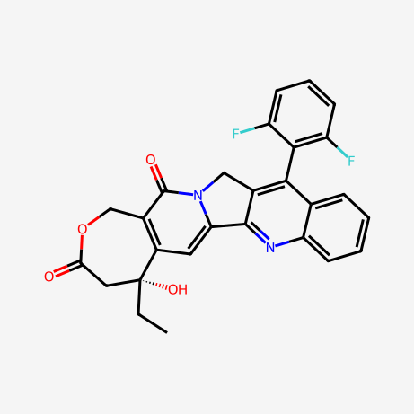 CC[C@@]1(O)CC(=O)OCc2c1cc1n(c2=O)Cc2c-1nc1ccccc1c2-c1c(F)cccc1F